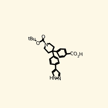 CC(C)(C)OC(=O)N1CCC(c2ccc(C(=O)O)cc2)(c2ccc(-c3cn[nH]c3)cc2)CC1